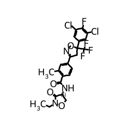 CCN1OC[C@H](NC(=O)c2ccc(C3=NOC(c4cc(Cl)c(F)c(Cl)c4)(C(F)(F)F)C3)cc2C)C1=O